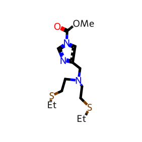 CCSCCN(CCSCC)Cc1cn(C(=O)OC)cn1